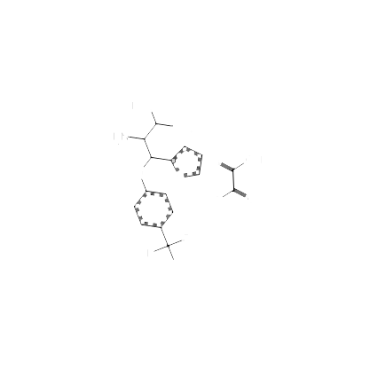 CC(C)C(N)C(Oc1ccc(C(F)(F)F)cc1)c1cccs1.O=C(O)C(=O)O